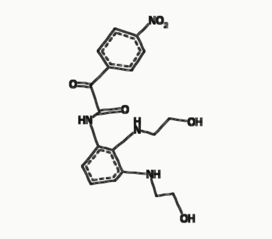 O=C(Nc1cccc(NCCO)c1NCCO)C(=O)c1ccc([N+](=O)[O-])cc1